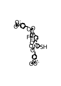 O=C(OCc1ccc([N+](=O)[O-])cc1)N(C[C@H]1CCN(C(=O)[C@@H]2C[C@H](S)CN2C(=O)OCc2ccc([N+](=O)[O-])cc2)C1)CC(F)(F)F